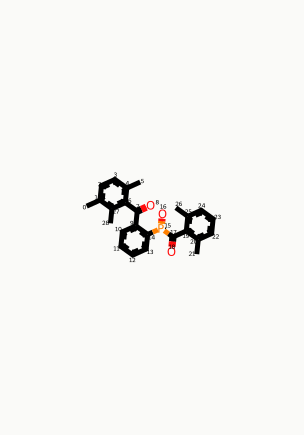 Cc1ccc(C)c(C(=O)c2ccccc2[P](=O)C(=O)c2c(C)cccc2C)c1C